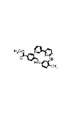 COC(=O)c1ccc(CNc2ccc(C)c(Nc3nccc(-c4cccnc4)n3)c2)cc1